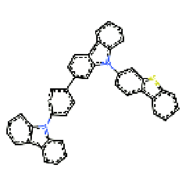 c1ccc2c(c1)sc1cc(-n3c4ccccc4c4ccc(-c5ccc(-n6c7ccccc7c7ccccc76)cc5)cc43)ccc12